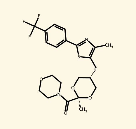 Cc1nc(-c2ccc(C(F)(F)F)cc2)sc1C[C@H]1CO[C@](C)(C(=O)N2CCOCC2)OC1